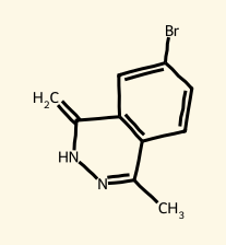 C=C1NN=C(C)c2ccc(Br)cc21